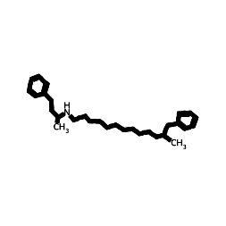 CC(CCCCCCCCCCCNC(C)CCc1ccccc1)Cc1ccccc1